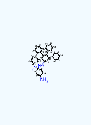 NC1=CCC(N)(N=Nc2cc(-c3ccccc3)c(-c3ccccc3)c(-c3ccccc3)c2-c2ccccc2)C=C1